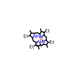 CCC1=C(C)C2CC3C(C)C(CC)C4CC5C(CC)C(C)C6CC7NC(CC1N2P(C)(C)(N65)N34)C(CC)C7C